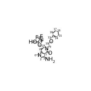 Cn1cc(N)c2c(=O)n(CCOCc3ccccc3)ccc21.O=C(O)C(F)(F)F